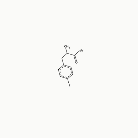 CCCC(=O)C(C)Cc1ccc(F)cc1